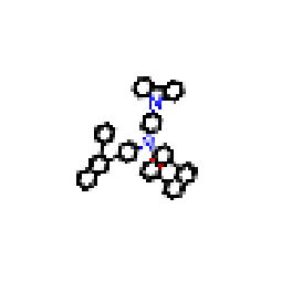 c1ccc(-c2cc3ccccc3cc2-c2ccc(N(c3ccc(-c4cccc5cccc(-c6ccccc6)c45)cc3)c3ccc(-n4c5ccccc5c5ccccc54)cc3)cc2)cc1